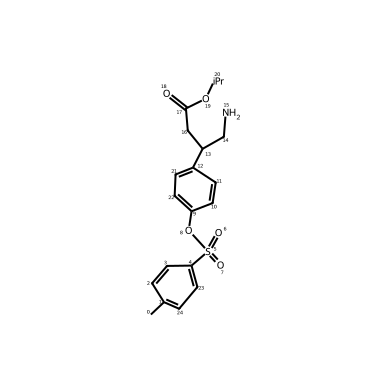 Cc1ccc(S(=O)(=O)Oc2ccc(C(CN)CC(=O)OC(C)C)cc2)cc1